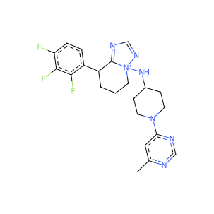 Cc1cc(N2CCC(N[N+]34CCCC(c5ccc(F)c(F)c5F)C3=NC=N4)CC2)ncn1